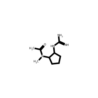 CC(=O)N(C)C1CCCC1NC(=N)N